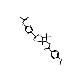 COc1ccc(C(=O)OC2C(C)(C)C(OC(=O)c3ccc(OC(C)=O)cc3)C2(C)C)cc1